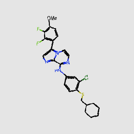 COc1ccc(-c2cnc3c(Nc4ccc(SCC5CCCCC5)c(Cl)c4)nccn23)c(F)c1F